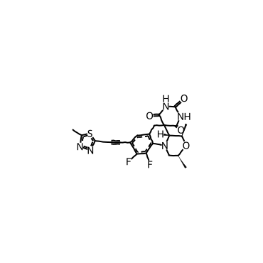 Cc1nnc(C#Cc2cc3c(c(F)c2F)N2C[C@H](C)O[C@H](C)[C@H]2C2(C3)C(=O)NC(=O)NC2=O)s1